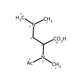 CC(=O)N(C)C(CN(C)C)C(=O)O